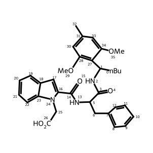 CCCCC(NC(=O)C(Cc1ccccc1)NC(=O)c1cc2ccccc2n1CC(=O)O)c1c(OC)cc(C)cc1OC